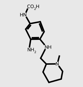 CN1CCCCC1CNc1ccc(NC(=O)O)cc1N